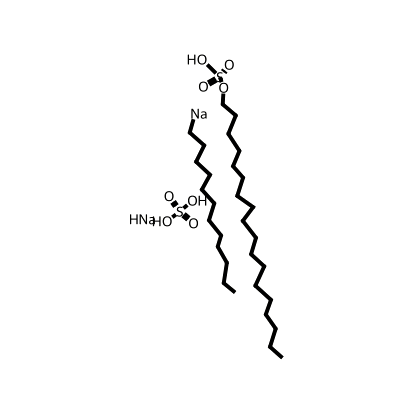 CCCCCCCCCCCCCCCCCCOS(=O)(=O)O.CCCCCCCCCCC[CH2][Na].O=S(=O)(O)O.[NaH]